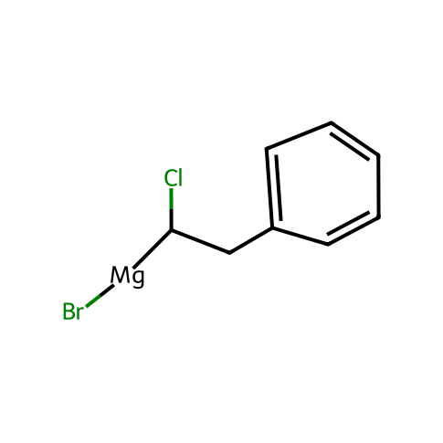 Cl[CH](Cc1ccccc1)[Mg][Br]